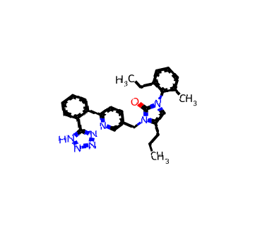 CCCc1cn(-c2c(C)cccc2CC)c(=O)n1Cc1ccc(-c2ccccc2-c2nnn[nH]2)nc1